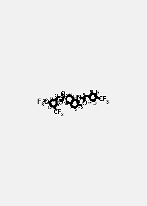 Cc1ccc2c(c1NC(=O)Cc1ccc(C(F)(F)F)c(F)c1)CCN(S(=O)(=O)Cc1cc(C(F)(F)F)cc(C(F)(F)F)c1)C2